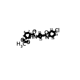 CS(=O)(=O)c1cccc(C(=O)NC23CC(c4nc5ccc(Cl)cc5o4)(C2)C3)c1